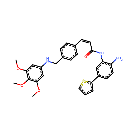 COc1cc(NCc2ccc(/C=C\C(=O)Nc3cc(-c4cccs4)ccc3N)cc2)cc(OC)c1OC